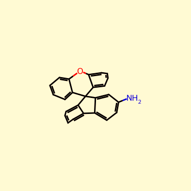 Nc1ccc2c(c1)C1(c3ccccc3Oc3ccccc31)c1ccccc1-2